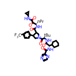 CCC[C@H](NC(=O)C1CN(C(=O)[C@@H](NC(=O)[C@@H](NC(=O)c2cnccn2)C2CCCCC2)C(C)(C)C)CC1c1ccc(C(F)(F)F)cc1)C(=O)C(=O)NC1CC1